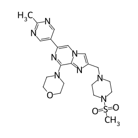 Cc1ncc(-c2cn3cc(CN4CCN(S(C)(=O)=O)CC4)nc3c(N3CCOCC3)n2)cn1